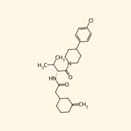 C=C1CCCC(CC(=O)N[C@@H](C(=O)N2CCC(c3ccc(Cl)cc3)CC2)C(C)C)C1